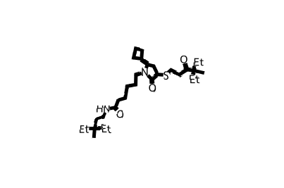 CCC(C)(CC)CCNC(=O)CCCCCN1C(=O)C(SCCC(=O)C(C)(CC)CC)CC1=C1CCC1